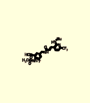 C#Cc1cc(CNC(=O)C=Cc2ccc(C(F)(F)F)nc2NC(C)CC)cc(F)c1NS(C)(=O)=O